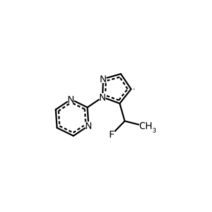 CC(F)c1[c]cnn1-c1ncccn1